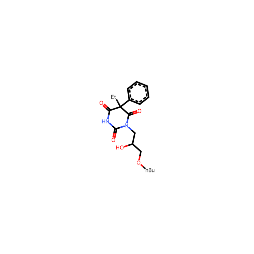 CCCCOCC(O)CN1C(=O)NC(=O)C(CC)(c2ccccc2)C1=O